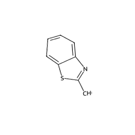 [CH]c1nc2ccccc2s1